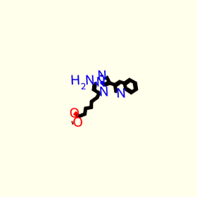 COC(=O)CCCCCc1cc(N)n2ncc(-c3cnc4ccccc4c3)c2n1